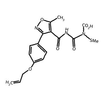 C=CCOc1ccc(-c2noc(C)c2C(=O)NC(=O)N(SC)C(=O)O)cc1